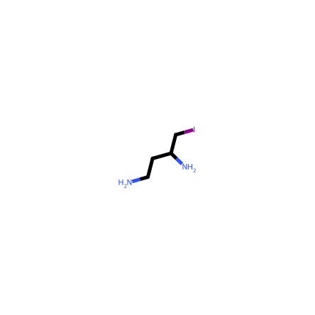 NCCC(N)CI